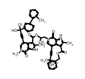 Cc1ccccc1-c1cccc(C(O)(C#Cc2cn(C)c(=O)c3[nH]c(C)c(C(=O)OC(C)Cn4cc(C#CC(C)(C)O)c5c(C(=O)OCc6ccccc6)c(C)[nH]c5c4=O)c23)C(F)(F)F)c1